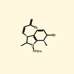 C=C(Br)/C=C\[C@H]1C2=C([C@H](C)C(Br)C=C2)N(CCCCCC)C1C